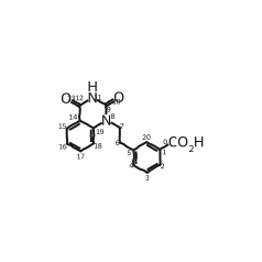 O=C(O)c1cccc(CCn2c(=O)[nH]c(=O)c3ccccc32)c1